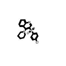 O=S(=O)(c1ccc(Cl)cc1)c1cnc2ccccc2c1N1CCCCC1